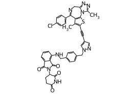 Cc1c(C#Cc2cnn(Cc3ccc(CNc4cccc5c4C(=O)N(C4CCC(=O)NC4=O)C5=O)cc3)c2)sc2c1C(c1ccc(Cl)cc1)=NCc1nnc(C)n1-2